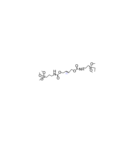 CC[Si](CCCNC(=O)OC/C=C/COC(=O)NCCC[Si](OC)(OC)OC)(OC)OC